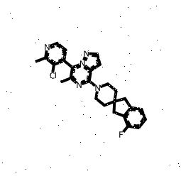 Cc1nccc(-c2c(C)nc(N3CCC4(CC3)Cc3cccc(F)c3C4)c3ccnn23)c1Cl